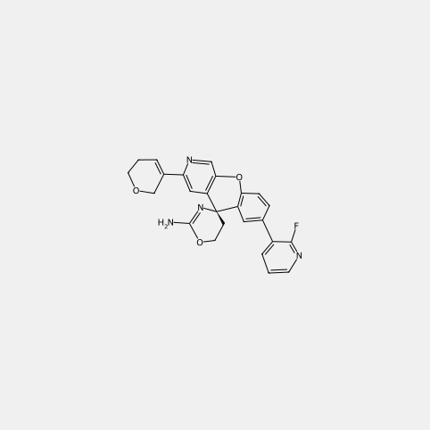 NC1=N[C@@]2(CCO1)c1cc(-c3cccnc3F)ccc1Oc1cnc(C3=CCCOC3)cc12